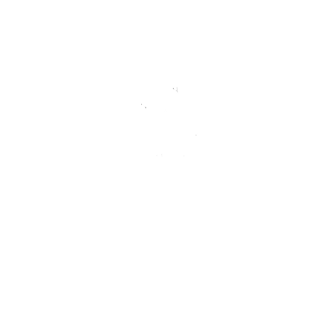 C/N=C1/CC(C)(C(=O)OCc2ccccc2)CCCN1C(C)C